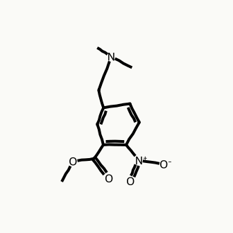 COC(=O)c1cc(CN(C)C)ccc1[N+](=O)[O-]